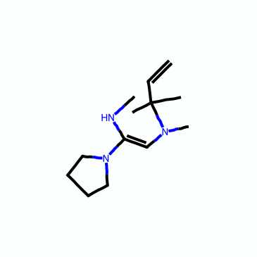 C=CC(C)(C)N(C)/C=C(\NC)N1CCCC1